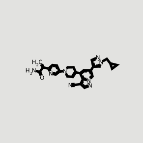 C=C(C(N)=O)c1ccc(N2CC=C(c3cc(-c4cnn(CC5CC5)c4)cn4ncc(C#N)c34)CC2)cn1